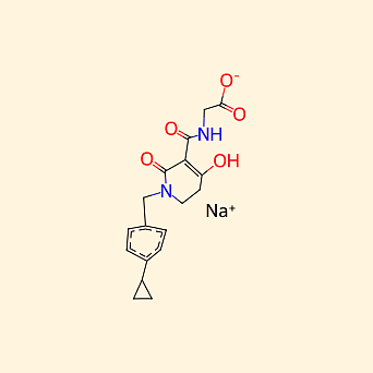 O=C([O-])CNC(=O)C1=C(O)CCN(Cc2ccc(C3CC3)cc2)C1=O.[Na+]